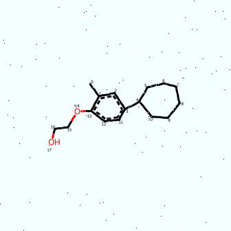 Cc1cc(C2CCCCCC2)ccc1OCCO